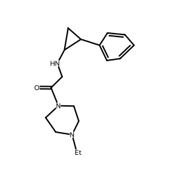 CCN1CCN(C(=O)CNC2CC2c2ccccc2)CC1